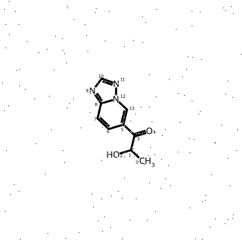 CC(O)C(=O)c1ccc2ncnn2c1